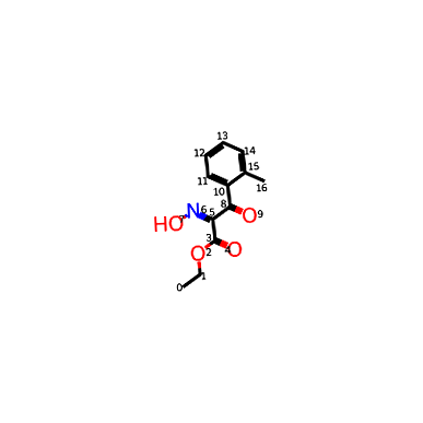 CCOC(=O)C(=NO)C(=O)c1ccccc1C